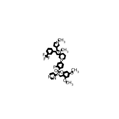 COc1ccc(CN(c2ccncn2)S(=O)(=O)c2ccc(N3CCCC(CCc4cccc(C(F)(F)F)c4)(N(C)CC4CCN(C)C4)C3)cc2F)c(OC)c1